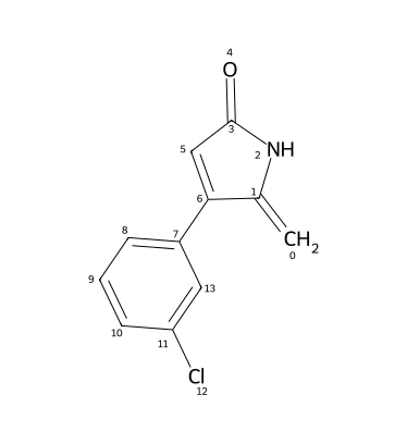 C=C1NC(=O)C=C1c1cccc(Cl)c1